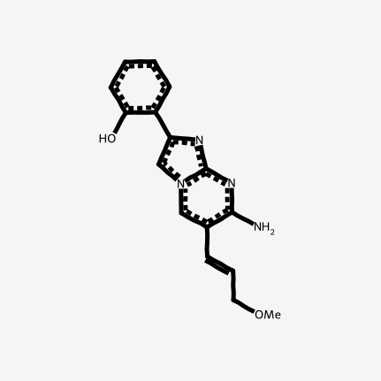 COC/C=C/c1cn2cc(-c3ccccc3O)nc2nc1N